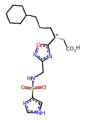 O=C(O)C[C@@H](CCCC1CCCCC1)c1nc(CNS(=O)(=O)c2c[nH]cn2)no1